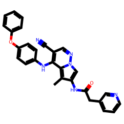 Cc1c(NC(=O)Cc2cccnc2)cn2ncc(C#N)c(Nc3ccc(Oc4ccccc4)cc3)c12